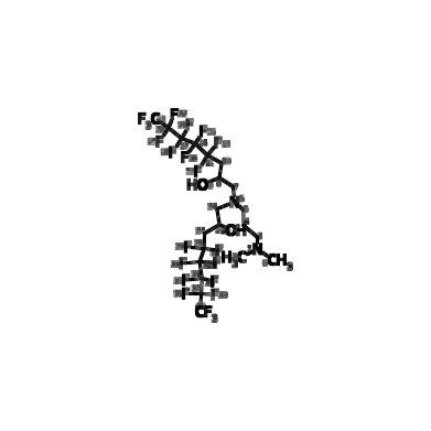 CN(C)CCCN(CC(O)CC(F)(F)C(F)(F)C(F)(F)C(F)(F)C(F)(F)F)CC(O)CC(F)(F)C(F)(F)C(F)(F)C(F)(F)C(F)(F)F